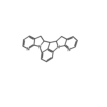 c1cnc2c(c1)CC1C3c4c(cccc4N4c5ncccc5CC34)N21